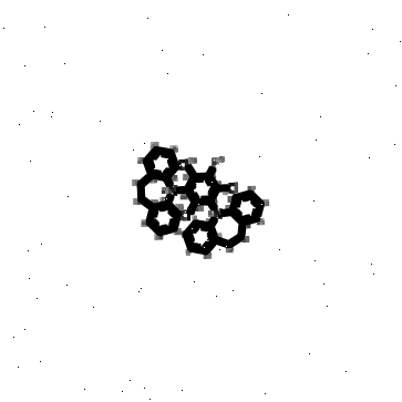 Fc1c(Cl)c(N2c3ccccc3CCc3ccccc32)c(Cl)c(N2c3ccccc3CCc3ccccc32)c1Cl